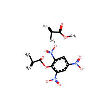 C=C(C)C(=O)OC.C=C(C)C(=O)Oc1c([N+](=O)[O-])cc([N+](=O)[O-])cc1[N+](=O)[O-]